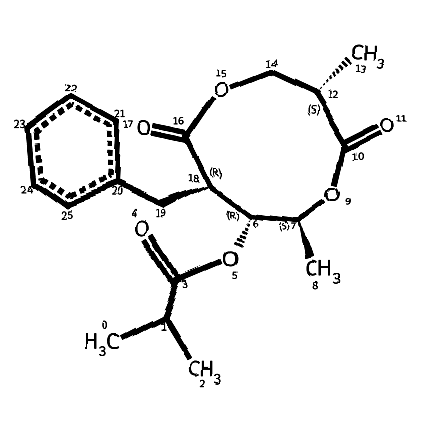 CC(C)C(=O)O[C@H]1[C@H](C)OC(=O)[C@@H](C)COC(=O)[C@@H]1Cc1ccccc1